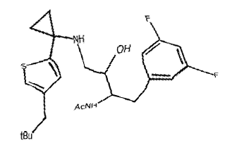 CC(=O)NC(Cc1cc(F)cc(F)c1)C(O)CNC1(c2cc(CC(C)(C)C)cs2)CC1